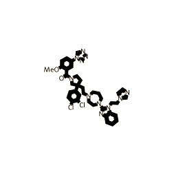 COc1ccc(-n2cnnn2)cc1C(=O)N1CCC(CCN2CCCN(c3nc4ccccc4n3CCn3ccnc3)CC2)(c2ccc(Cl)c(Cl)c2)C1